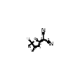 CC1=CC(=C(C#N)C#N)SC1(C)C